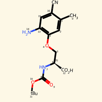 Cc1cc(OC[C@H](NC(=O)OC(C)(C)C)C(=O)O)c(N)cc1C#N